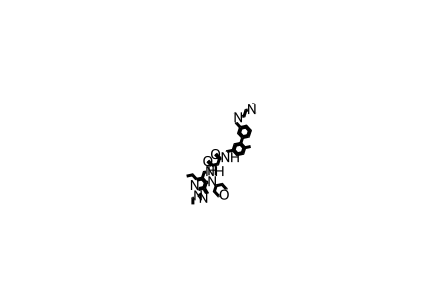 CCc1nc2c(cnn2CC)c(NC2CCOCC2)c1CNC(=O)CC(=O)NCc1ccc(C)c(-c2cccc(CN(C)CCN(C)C)c2)c1